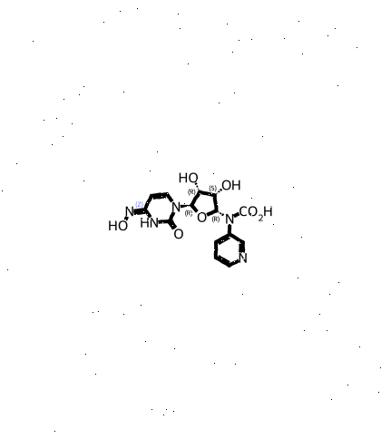 O=C(O)N(c1cccnc1)[C@@H]1O[C@@H](n2cc/c(=N/O)[nH]c2=O)[C@H](O)[C@@H]1O